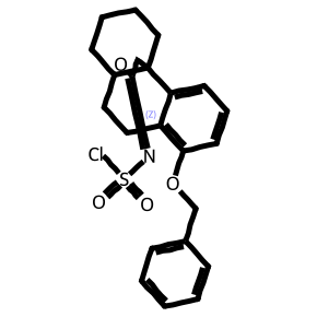 O=S(=O)(Cl)/N=C1/CC23CCCCC2(CCc2c(OCc4ccccc4)cccc23)O1